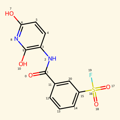 O=C(Nc1ccc(O)nc1O)c1cccc(S(=O)(=O)F)c1